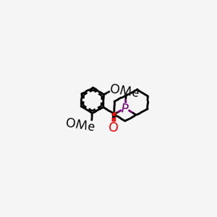 COc1cccc(OC)c1C(=O)P1C2CCCC1CCC2